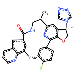 COc1cc(C(=O)NC[C@H](c2cc3c(c(-c4ccc(F)cc4)n2)OC[C@]3(C)n2cnnc2)C(F)(F)F)cc2cccnc12